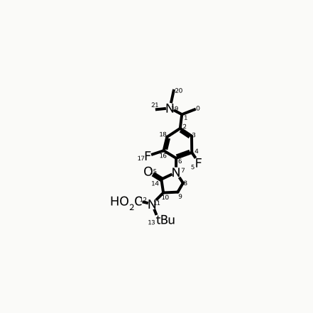 CC(c1cc(F)c(N2CCC(N(C(=O)O)C(C)(C)C)C2=O)c(F)c1)N(C)C